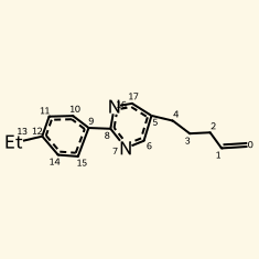 C=CCCCc1cnc(-c2ccc(CC)cc2)nc1